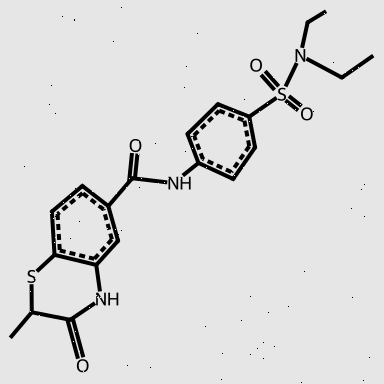 CCN(CC)S(=O)(=O)c1ccc(NC(=O)c2ccc3c(c2)NC(=O)C(C)S3)cc1